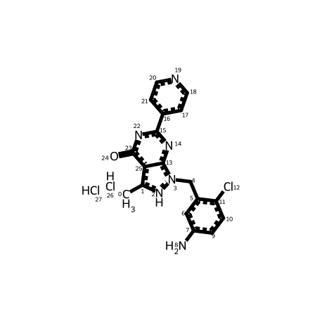 Cc1[nH]n(Cc2cc(N)ccc2Cl)c2nc(-c3ccncc3)nc(=O)c1-2.Cl.Cl